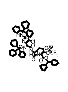 O=C(NC1C(=O)N2C(C(=O)OC(c3ccccc3)c3ccccc3)=C(OS(=O)(=O)C(F)(F)F)CCC12)C(=NOC(c1ccccc1)(c1ccccc1)c1ccccc1)c1nc(NC(c2ccccc2)(c2ccccc2)c2ccccc2)sc1Cl